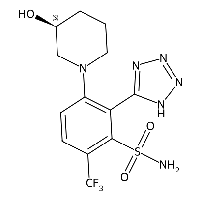 NS(=O)(=O)c1c(C(F)(F)F)ccc(N2CCC[C@H](O)C2)c1-c1nnn[nH]1